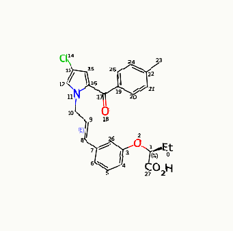 CC[C@H](Oc1cccc(/C=C/Cn2cc(Cl)cc2C(=O)c2ccc(C)cc2)c1)C(=O)O